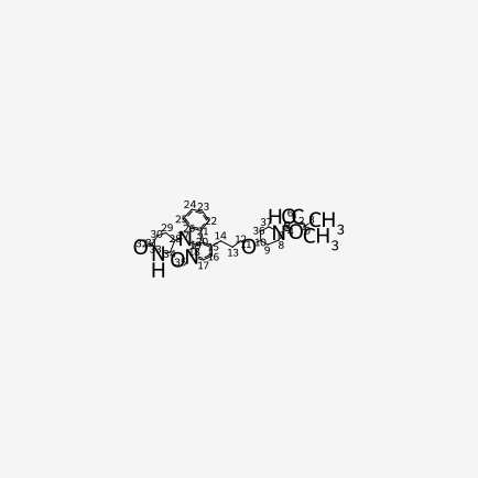 CC(C)(C)OC(=O)N1CCC(OCCCc2ccnc3c2c2ccccc2n3C2CCC(=O)NC2=O)CC1